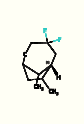 CC1CC2CCC(F)(F)C[C@H]1C2C